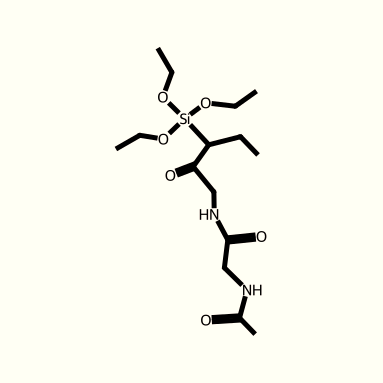 CCO[Si](OCC)(OCC)C(CC)C(=O)CNC(=O)CNC(C)=O